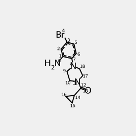 Nc1cc(Br)ccc1N1CCN(C(=O)C2CC2)CC1